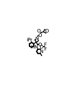 Cc1ccc(NC(=O)C2(c3ccccc3C(C)C)CN(COC(=O)C3COC3)C2)c(OC(F)F)n1